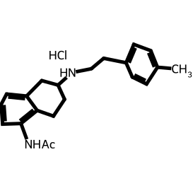 CC(=O)Nc1cccc2c1CCC(NCCc1ccc(C)cc1)C2.Cl